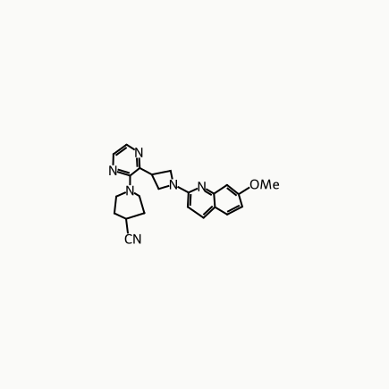 COc1ccc2ccc(N3CC(c4nccnc4N4CCC(C#N)CC4)C3)nc2c1